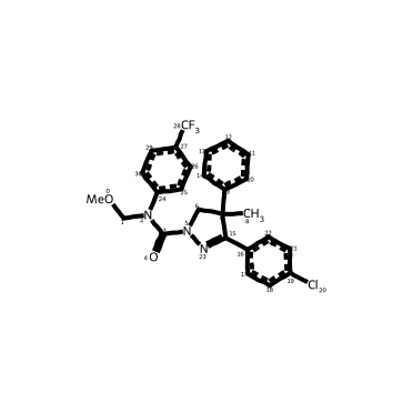 COCN(C(=O)N1CC(C)(c2ccccc2)C(c2ccc(Cl)cc2)=N1)c1ccc(C(F)(F)F)cc1